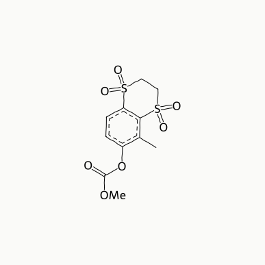 COC(=O)Oc1ccc2c(c1C)S(=O)(=O)CCS2(=O)=O